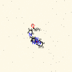 CC(C)C(=O)[C@H]1CCN(Cc2cnc(N3C4CCC3CN(C(C)C)C4)nc2)C1